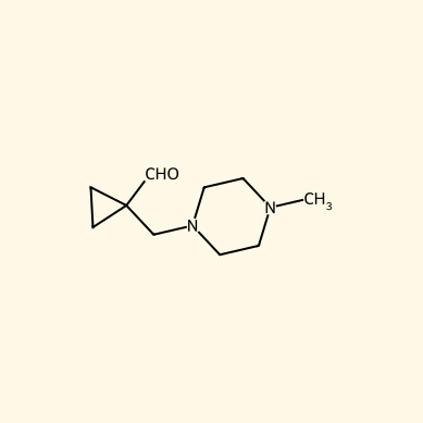 CN1CCN(CC2(C=O)CC2)CC1